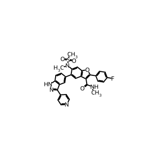 CNC(=O)c1c(-c2ccc(F)cc2)oc2cc(N(C)S(C)(=O)=O)c(-c3ccc4[nH]nc(-c5ccncc5)c4c3)cc12